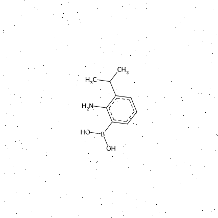 CC(C)c1cccc(B(O)O)c1N